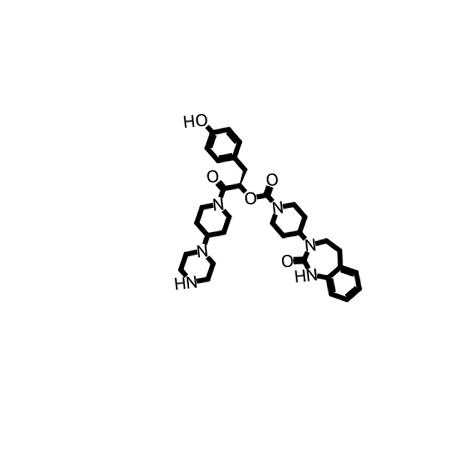 O=C(O[C@H](Cc1ccc(O)cc1)C(=O)N1CCC(N2CCNCC2)CC1)N1CCC(N2CCc3ccccc3NC2=O)CC1